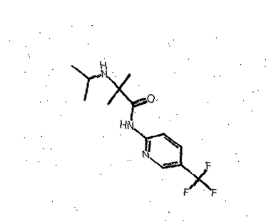 CC(C)NC(C)(C)C(=O)Nc1ccc(C(F)(F)F)cn1